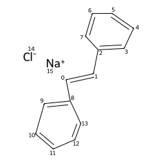 C(=Cc1ccccc1)c1ccccc1.[Cl-].[Na+]